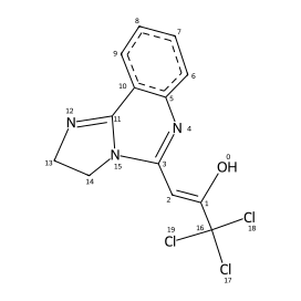 O/C(=C\C1=Nc2ccccc2C2=NCCN12)C(Cl)(Cl)Cl